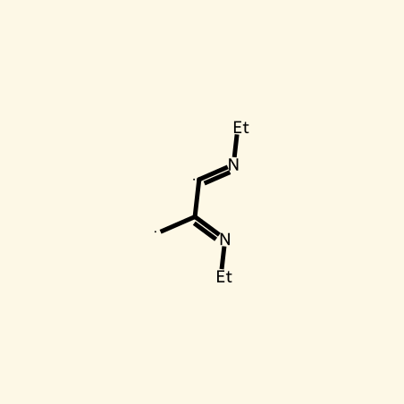 [CH2]C(/[C]=N/CC)=NCC